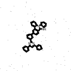 CC1Nc2ccccc2N1c1ccccc1-c1cccc(-c2cccc(-c3nc(-c4ccccc4)cc(-c4ccccc4)n3)c2)c1